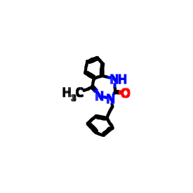 CC1=NN(Cc2ccccc2)C(=O)Nc2ccccc21